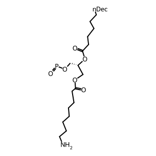 CCCCCCCCCCCCCCCC(=O)O[C@@H](COP=O)COC(=O)CCCCCCCN